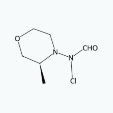 C[C@H]1COCCN1N(Cl)C=O